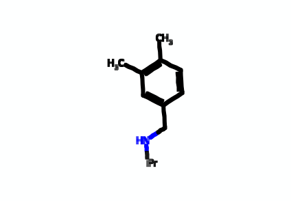 Cc1ccc(CNC(C)C)cc1C